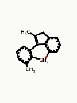 CC1=C(c2cccc(C)c2C)c2c(Br)cccc2C1